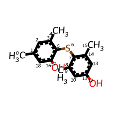 Cc1cc(C)c(Sc2c(C)cc(O)cc2C)c(O)c1